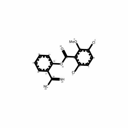 COc1c(Cl)ccc(Cl)c1C(=O)Oc1ccccc1C(=N)C#N